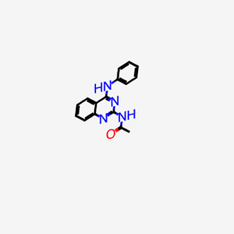 CC(=O)Nc1nc(Nc2ccccc2)c2ccccc2n1